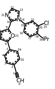 C#Cc1ccc(-c2ccc(-c3nccn3-c3ccc(C(C)C)c(Cl)c3)o2)cc1